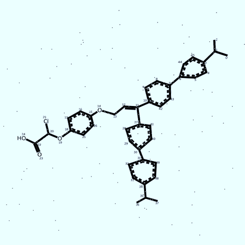 CC(C)c1ccc(-c2ccc(C(=CCOc3ccc(OC(Cl)C(=O)O)cc3)c3ccc(-c4ccc(C(C)C)cc4)cc3)cc2)cc1